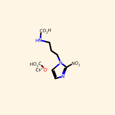 O=C(O)NCCCn1ccnc1[N+](=O)[O-].O=C([O-])O.[Cs+]